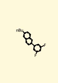 CCCCc1ccc2cc(-c3cc(F)cc(F)c3)ccc2c1